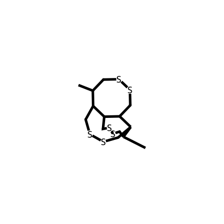 CC1CSSCC2C3CSSCC1C2CSSCC3C